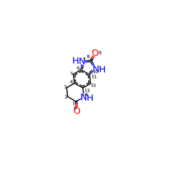 O=C1CCc2cc3[nH]c(=O)[nH]c3cc2N1